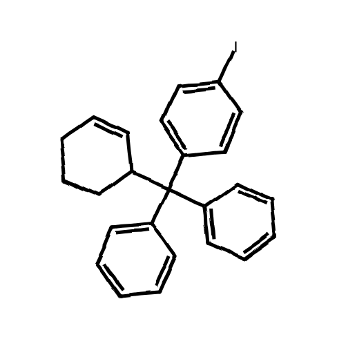 Ic1ccc(C(c2ccccc2)(c2ccccc2)C2C=CCCC2)cc1